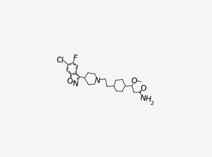 COC(CC(N)=O)C1CCC(CCN2CCC(c3noc4cc(Cl)c(F)cc34)CC2)CC1